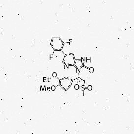 CCOc1cc([C@H](CS(C)(=O)=O)n2c(=O)[nH]c3cc(-c4c(F)cccc4F)cnc32)ccc1OC